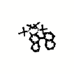 CC(C)(C)P(c1cc2ccccc2c(-c2cccc3ccccc23)c1P(C(C)(C)C)C(C)(C)C)C(C)(C)C